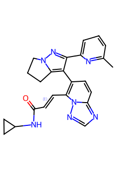 Cc1cccc(-c2nn3c(c2-c2ccc4ncnn4c2/C=C/C(=O)NC2CC2)CCC3)n1